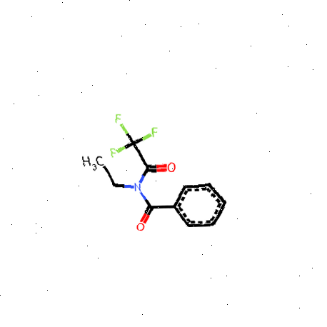 CCN(C(=O)c1ccccc1)C(=O)C(F)(F)F